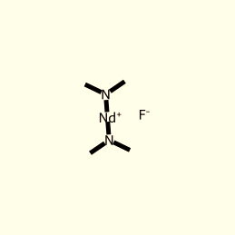 C[N](C)[Nd+][N](C)C.[F-]